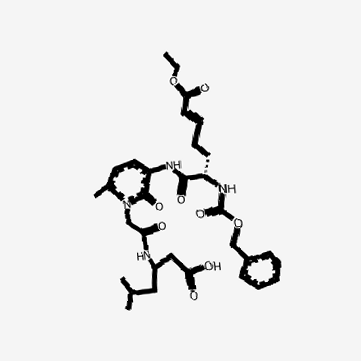 CCOC(=O)C=CCC[C@H](NC(=O)OCc1ccccc1)C(=O)Nc1ccc(C)n(CC(=O)NC(CC(=O)O)CC(C)C)c1=O